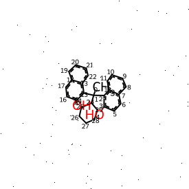 CC(c1c(O)ccc2ccccc12)(c1c(O)ccc2ccccc12)C1CCCCC1